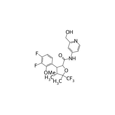 COc1c(C2C(C(=O)Nc3ccnc(CO)c3)OC(C)(C(F)(F)F)C2C)ccc(F)c1F